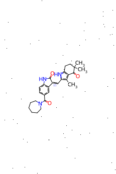 Cc1c(/C=C2\C(=O)Nc3ccc(C(=O)N4CCCCCC4)cc32)[nH]c2c1C(=O)C(C)(C)CC2